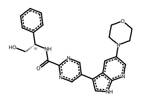 O=C(N[C@H](CO)c1ccccc1)c1ncc(-c2c[nH]c3ncc(N4CCOCC4)cc23)cn1